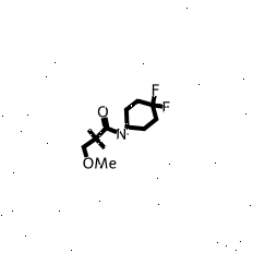 COCC(C)(C)C(=O)[N]C1CCC(F)(F)CC1